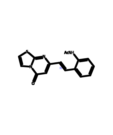 CC(=O)Nc1ccccc1/C=C/c1cc(=O)n2ccsc2n1